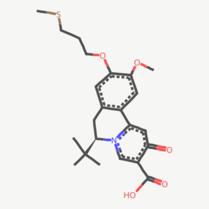 COc1cc2c(cc1OCCCSC)C[C@H](C(C)(C)C)n1cc(C(=O)O)c(=O)cc1-2